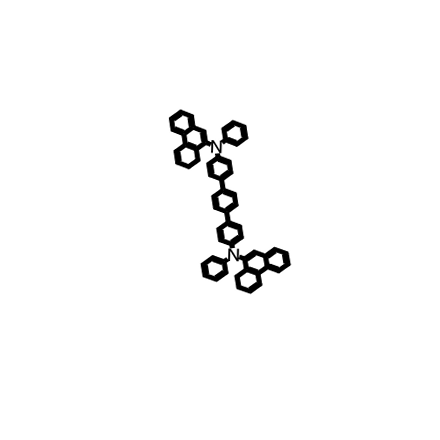 C1=Cc2c(c(N(c3ccccc3)c3ccc(-c4ccc(-c5ccc(N(c6ccccc6)c6cc7ccccc7c7c6CCC=C7)cc5)cc4)cc3)cc3ccccc23)CC1